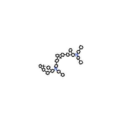 CC1(C)c2ccccc2-c2ccc(-c3cccc(-c4ccc(N(c5ccc(-c6ccccc6)cc5)c5ccc(-c6ccc(-c7cccc8c7C(C)(C)c7cc(-c9ccc(-c%10ccc(N(c%11ccc(C%12=CC=CCC%12)cc%11)c%11ccc(-c%12ccccc%12)cc%11)cc%10-c%10ccccc%10)cc9)ccc7-8)cc6)cc5)cc4-c4ccccc4)c3)cc21